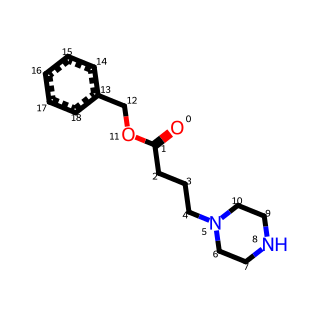 O=C(CCCN1CCNCC1)OCc1ccccc1